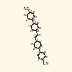 N#Cc1ccc(-c2ccc(/C=C/c3ccc(-c4ccc(C#N)cc4)cc3)cc2)cc1